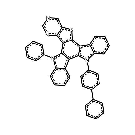 c1ccc(-c2ccc(-n3c4ccccc4c4c5sc6cncnc6c5c5c(c6ccccc6n5-c5ccccc5)c43)cc2)cc1